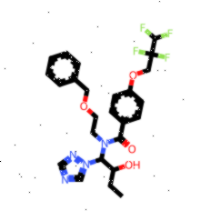 CCC(O)C(N(CCOCc1ccccc1)C(=O)c1ccc(OCC(F)(F)C(F)F)cc1)n1cncn1